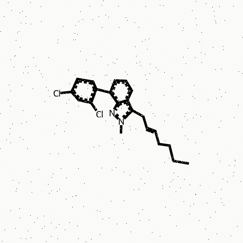 CCCCC=CCc1c2cccc(-c3ccc(Cl)cc3Cl)c2nn1C